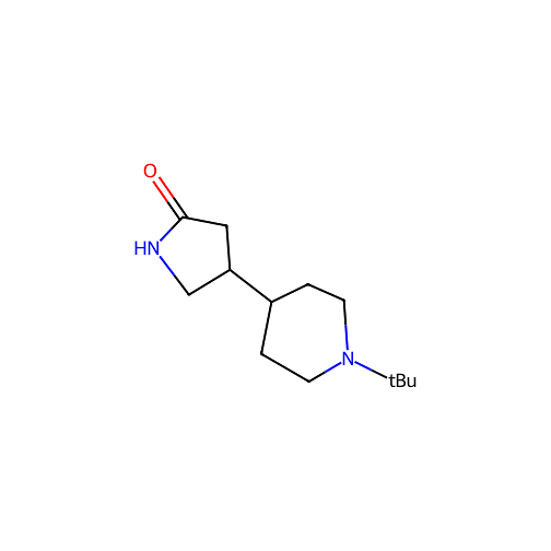 CC(C)(C)N1CCC(C2CNC(=O)C2)CC1